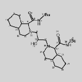 CC(C)(C)NC(=O)C1C2CCCCC2CCN1CC(O)CN1CCC2CCCCC2C1C(=O)NC(C)(C)C